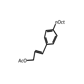 CCCCCCCCc1ccc(C=CCOC(C)=O)cc1